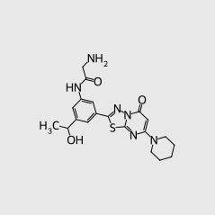 CC(O)c1cc(NC(=O)CN)cc(-c2nn3c(=O)cc(N4CCCCC4)nc3s2)c1